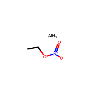 CCO[N+](=O)[O-].[AlH3]